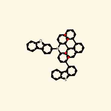 c1ccc(-c2cccc3cccc(-c4ccccc4N(c4ccc(-c5cccc6sc7ccccc7c56)cc4)c4ccc5c(c4)oc4ccccc45)c23)cc1